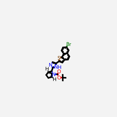 CC(C)(C)OC(=O)N1C(c2ncc(-c3cc4ccc5cc(Br)ccc5c4s3)[nH]2)[C@H]2CC[C@@H]1C2